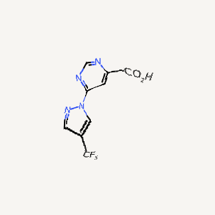 O=C(O)c1cc(-n2cc(C(F)(F)F)cn2)ncn1